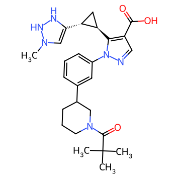 CN1C=C([C@@H]2C[C@H]2c2c(C(=O)O)cnn2-c2cccc(C3CCCN(C(=O)C(C)(C)C)C3)c2)NN1